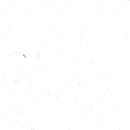 CSCC[C@H](NC(=O)c1ccc(CN(Cc2ccccc2)Cc2ccccc2)cc1-c1ccccc1C)C(=O)[O-].[Li+]